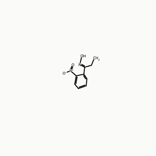 CCC(=NO)c1ccccc1[N+](=O)[O-]